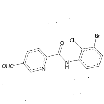 O=Cc1ccc(C(=O)Nc2cccc(Br)c2Cl)nc1